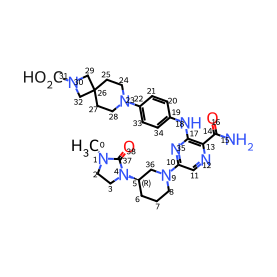 CN1CCN([C@@H]2CCCN(c3cnc(C(N)=O)c(Nc4ccc(N5CCC6(CC5)CN(C(=O)O)C6)cc4)n3)C2)C1=O